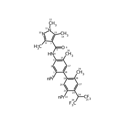 CCCc1cc(NC(=O)c2c(C)nn(C)c2C)c(C)cc1-c1cc(CCC)c(C(C(F)(F)F)C(F)(F)F)cc1C